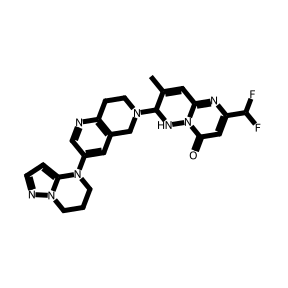 CC1=Cc2nc(C(F)F)cc(=O)n2NC1N1CCc2ncc(N3CCCn4nccc43)cc2C1